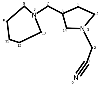 N#CCN1CCC(CN2CCCCC2)C1